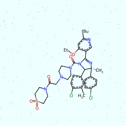 CCOc1cc(C(C)(C)C)ncc1C1=N[C@@](C)(c2ccc(Cl)cc2)C(c2ccc(Cl)c(C)c2)N1C(=O)N1CCN(CC(=O)N2CCS(=O)(=O)CC2)CC1